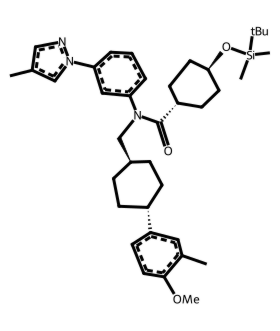 COc1ccc([C@H]2CC[C@H](CN(c3cccc(-n4cc(C)cn4)c3)C(=O)[C@H]3CC[C@H](O[Si](C)(C)C(C)(C)C)CC3)CC2)cc1C